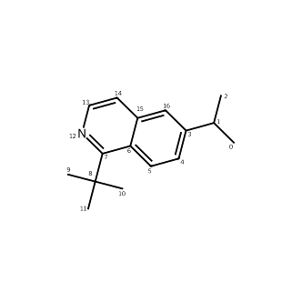 CC(C)c1ccc2c(C(C)(C)C)nccc2c1